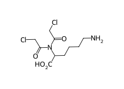 NCCCCC(C(=O)O)N(C(=O)CCl)C(=O)CCl